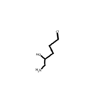 NCC(O)CCCCl